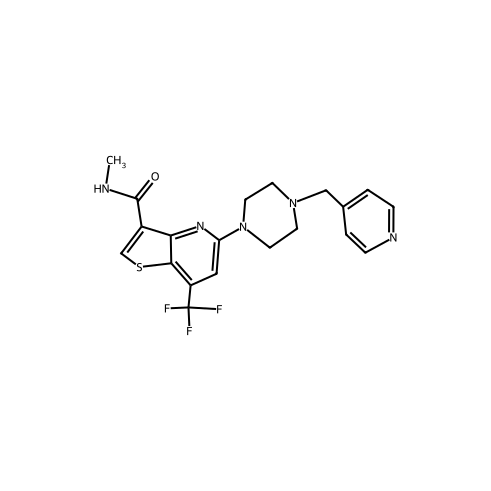 CNC(=O)c1csc2c(C(F)(F)F)cc(N3CCN(Cc4ccncc4)CC3)nc12